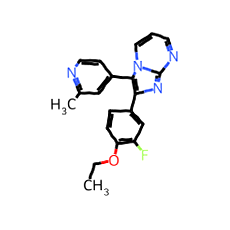 CCOc1ccc(-c2nc3ncccn3c2-c2ccnc(C)c2)cc1F